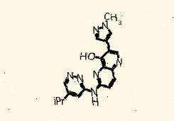 CC(C)c1cnnc(Nc2ccc3ncc(-c4cnn(C)c4)c(O)c3n2)c1